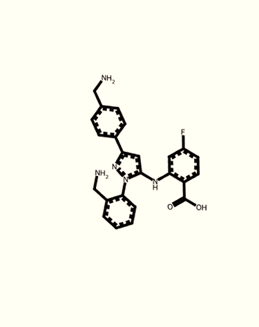 NCc1ccc(-c2cc(Nc3cc(F)ccc3C(=O)O)n(-c3ccccc3CN)n2)cc1